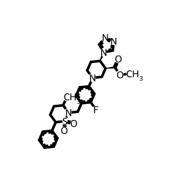 COC(=O)[C@H]1CN(c2ccc(CN3C(C)CCC(c4ccccc4)S3(=O)=O)c(F)c2)CC[C@H]1n1cnnc1